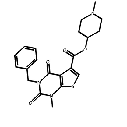 CN1CCC(OC(=O)c2csc3c2c(=O)n(Cc2ccccc2)c(=O)n3C)CC1